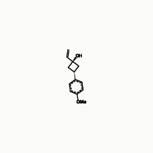 C=C[C@]1(O)C[C@H](c2ccc(OC)cc2)C1